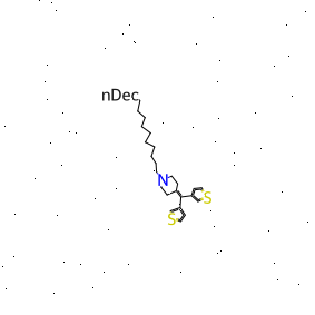 CCCCCCCCCCCCCCCCCCCCN1CCC(=C(c2ccsc2)c2ccsc2)CC1